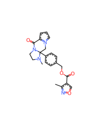 Cc1nocc1C(=O)OCc1ccc(C23Cn4cccc4C(=O)N2CCN3C)cc1